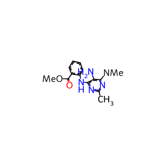 CNc1nc(C)nc(Nc2ccccc2C(=O)OC)c1N